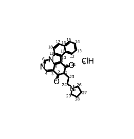 Cl.O=C1c2cncn3c2c(c2c4ccccc4ccc23)C(=O)C1CCN1CCCC1